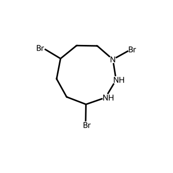 BrC1CCC(Br)NNN(Br)CC1